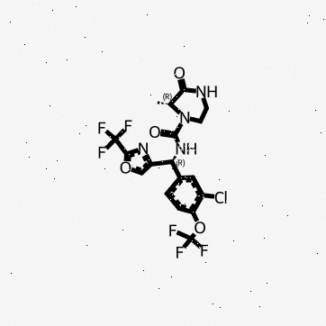 C[C@@H]1C(=O)NCCN1C(=O)N[C@H](c1ccc(OC(F)(F)F)c(Cl)c1)c1coc(C(F)(F)F)n1